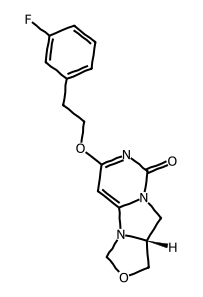 O=c1nc(OCCc2cccc(F)c2)cc2n1C[C@@H]1COCN21